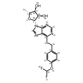 C[C@H]1O[C@@H](n2cnc3c(SCc4ccc(OC(F)F)cc4)ncnc32)[C@H](O)[C@@H]1O